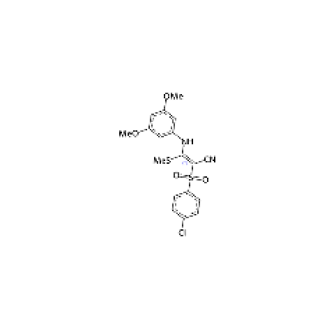 COc1cc(N/C(SC)=C(\C#N)S(=O)(=O)c2ccc(Cl)cc2)cc(OC)c1